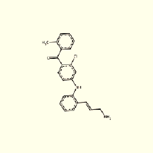 Cc1ccccc1C(=O)c1ccc(Nc2ccccc2C=CCN)cc1Cl